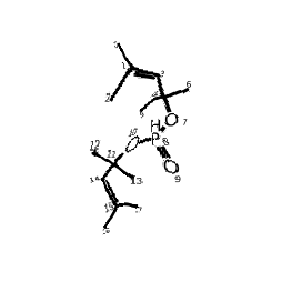 CC(C)=CC(C)(C)O[PH](=O)OC(C)(C)C=C(C)C